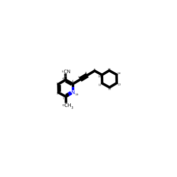 Cc1ccc(C#N)c(C#CCC2CCCCC2)n1